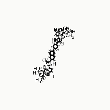 COC(=O)N[C@H](C(=O)N1[C@@H](C)CC[C@H]1c1nc(Cl)c(-c2ccc3cc(-c4ccc(-c5[nH]c([C@@H]6CC[C@H](C)N6C(=O)[C@H](C(C)C)N(C)C(=O)O)nc5Cl)cc4)ccc3c2)[nH]1)C(C)C